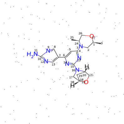 C[C@H]1CN(c2cc(-c3cnc(N)nc3)nc(N3C[C@@H]4C[C@H]3CO4)n2)[C@@H](C)CO1